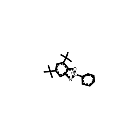 CC(C)(C)c1cc(C(C)(C)C)c2o[13c](-c3ccccc3)nc2c1